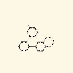 Fc1cccc(-c2ccccc2-c2ccc3ncncc3c2)c1